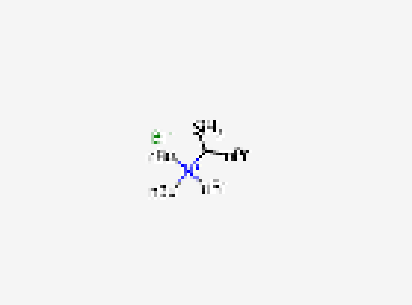 CCCC[N+](CCC)(CCCC)C([SiH3])CCC.[Br-]